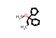 CC=CC(O[SiH3])(c1ccccc1)c1ccccc1